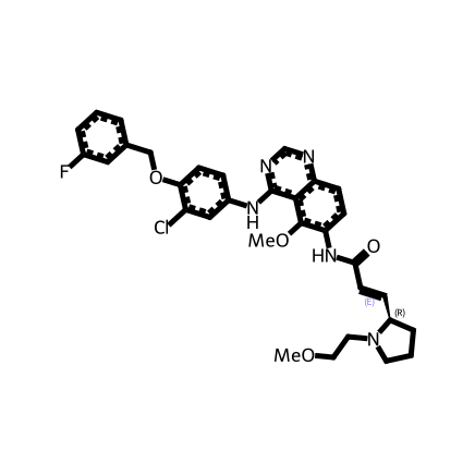 COCCN1CCC[C@@H]1/C=C/C(=O)Nc1ccc2ncnc(Nc3ccc(OCc4cccc(F)c4)c(Cl)c3)c2c1OC